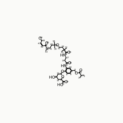 CC(C)C(=O)OCc1ccc(OC2CC(O)CC(C(=O)O)O2)c(NC(=O)CCNC(=O)C(C)(C)CCOC(C)(C)CCN(C)C(=O)/C=C\C=O)c1